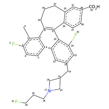 Cc1c(F)cccc1C1=C(c2ccc(CC3CN(CCCF)C3)cc2F)c2ccc(C(=O)O)cc2CCC1